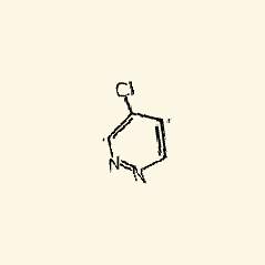 Clc1[c]cnn[c]1